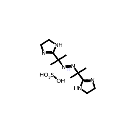 CC(C)(/N=N/C(C)(C)C1=NCCN1)C1=NCCN1.O=S(=O)(O)O